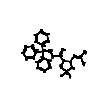 CC1(C)O[C@@H](C=C(Br)Br)[C@@H](C(=O)COC(c2ccccc2)(c2ccccc2)c2ccccc2)O1